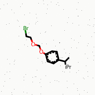 CC(C)C(C)c1ccc(OCOCCBr)cc1